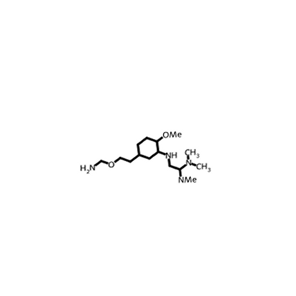 CNC(CNC1CC(CCOCN)CCC1OC)N(C)C